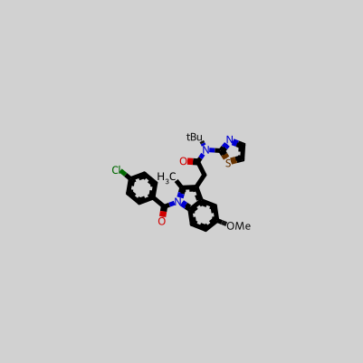 COc1ccc2c(c1)c(CC(=O)N(c1nccs1)C(C)(C)C)c(C)n2C(=O)c1ccc(Cl)cc1